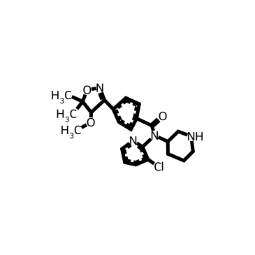 COC1C(c2ccc(C(=O)N(c3ncccc3Cl)C3CCCNC3)cc2)=NOC1(C)C